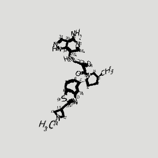 C[C@H]1CC[C@H](c2ccc3sc(C4CN(C)C4)nc3c2)N(C(=O)C(=O)Nc2cnc(N)c3cn[nH]c23)C1